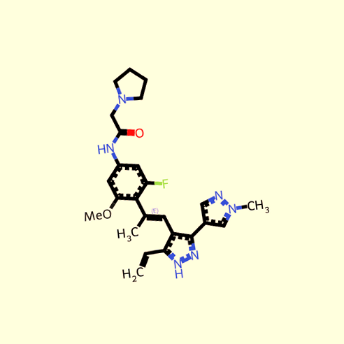 C=Cc1[nH]nc(-c2cnn(C)c2)c1/C=C(\C)c1c(F)cc(NC(=O)CN2CCCC2)cc1OC